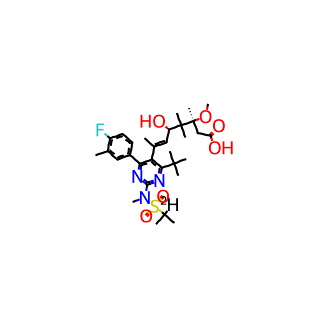 [2H]C(C)(C)S(=O)(=O)N(C)c1nc(-c2ccc(F)c(C)c2)c(/C(C)=C/[C@@H](O)C(C)(C)[C@](C)(CC(=O)O)OC)c(C(C)(C)C)n1